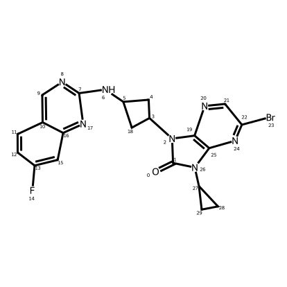 O=c1n(C2CC(Nc3ncc4ccc(F)cc4n3)C2)c2ncc(Br)nc2n1C1CC1